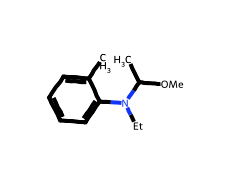 CCN(c1ccccc1C)C(C)OC